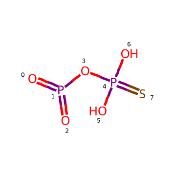 O=P(=O)OP(O)(O)=S